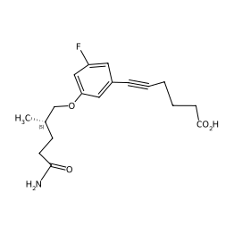 C[C@@H](CCC(N)=O)COc1cc(F)cc(C#CCCCC(=O)O)c1